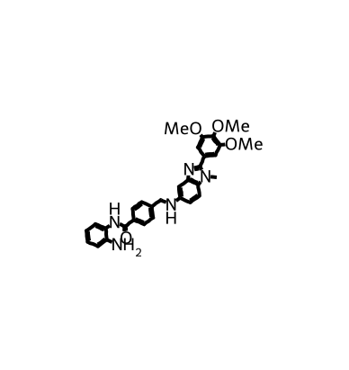 COc1cc(-c2nc3cc(NCc4ccc(C(=O)Nc5ccccc5N)cc4)ccc3n2C)cc(OC)c1OC